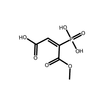 COC(=O)/C(=C\C(=O)O)P(=O)(O)O